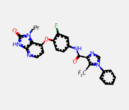 CC(C)n1c(=O)[nH]c2nccc(Oc3ccc(NC(=O)c4ncn(-c5ccccc5)c4C(F)(F)F)cc3F)c21